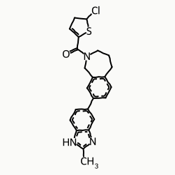 Cc1nc2cc(-c3ccc4c(c3)CN(C(=O)C3=CCC(Cl)S3)CCC4)ccc2[nH]1